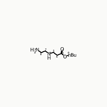 CCCCOC(=O)CCNCCN